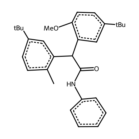 COc1ccc(C(C)(C)C)cc1C(C(=O)Nc1ccccc1)c1cc(C(C)(C)C)ccc1C